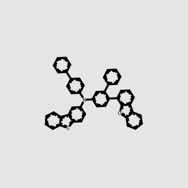 c1ccc(-c2ccc(N(c3ccc(-c4cccc5c4oc4ccccc45)c(-c4ccccc4)c3)c3ccc4sc5ccccc5c4c3)cc2)cc1